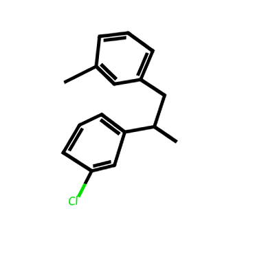 Cc1cccc(CC(C)c2cccc(Cl)c2)c1